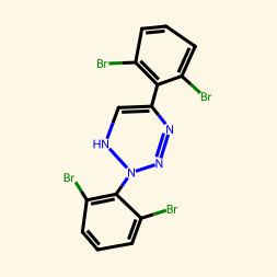 Brc1cccc(Br)c1C1=CNN(c2c(Br)cccc2Br)N=N1